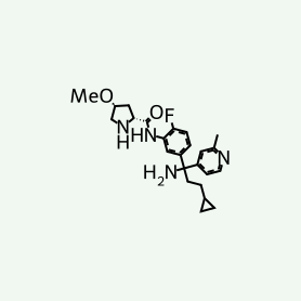 CO[C@H]1CN[C@@H](C(=O)Nc2cc(C(N)(CCC3CC3)c3ccnc(C)c3)ccc2F)C1